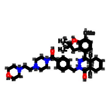 COc1ccc(C2=NN(Cc3ccc(C(=O)N4CCN(CCN5CCOCC5)CC4)cc3)C(=O)[C@@H]3CC=CC[C@H]23)c2c1OC(C)(C)C2